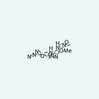 C=CC(=O)N1CCC(Nc2cc3c(Nc4ccc(Oc5ccnc(N6CC(N(C)C)C6)c5)cc4F)ncnc3cc2OC)CC1